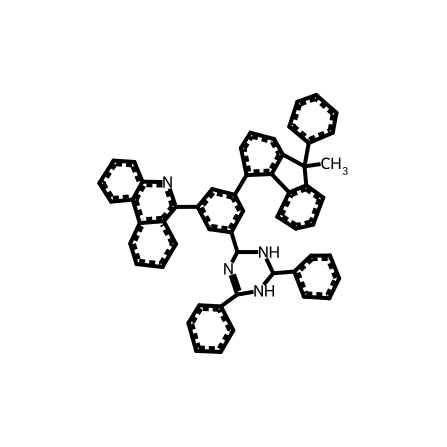 CC1(c2ccccc2)c2ccccc2-c2c(-c3cc(-c4nc5ccccc5c5ccccc45)cc(C4N=C(c5ccccc5)NC(c5ccccc5)N4)c3)cccc21